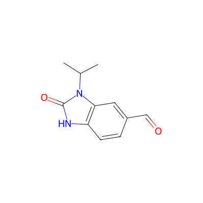 CC(C)n1c(=O)[nH]c2ccc(C=O)cc21